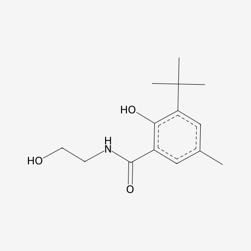 Cc1cc(C(=O)NCCO)c(O)c(C(C)(C)C)c1